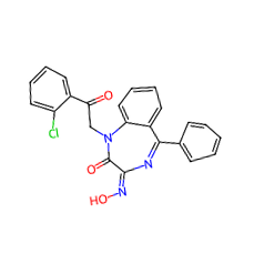 O=C(Cn1c(=O)c(=NO)nc(-c2ccccc2)c2ccccc21)c1ccccc1Cl